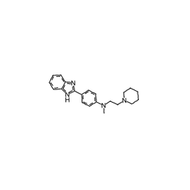 CN(CCN1CCCCC1)c1ccc(-c2nc3ccccc3[nH]2)cc1